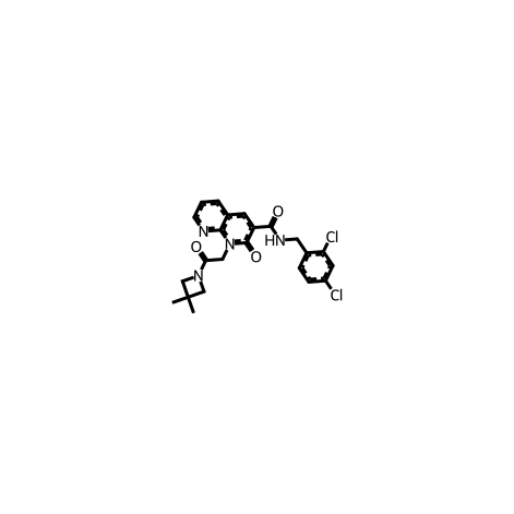 CC1(C)CN(C(=O)Cn2c(=O)c(C(=O)NCc3ccc(Cl)cc3Cl)cc3cccnc32)C1